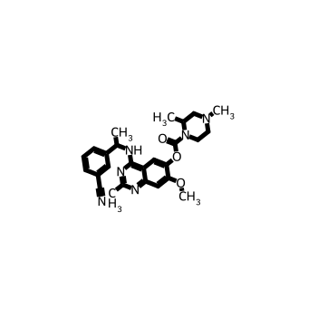 COc1cc2nc(C)nc(NC(C)c3cccc(C#N)c3)c2cc1OC(=O)N1CCN(C)CC1C